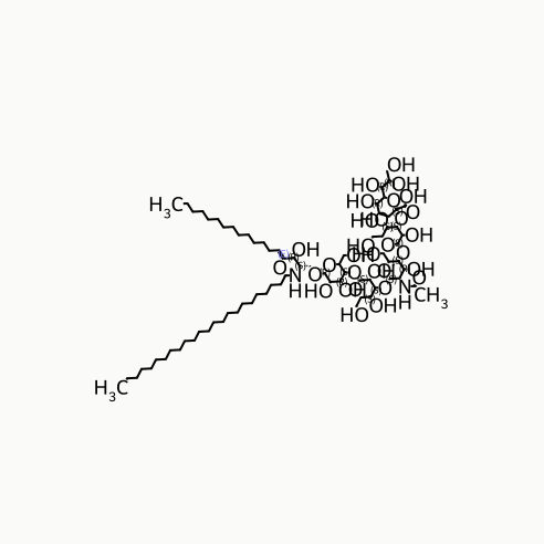 CCCCCCCCCCCCC/C=C/[C@@H](O)[C@H](CO[C@@H]1OC(CO)[C@@H](O[C@@H]2OC(CO)[C@H](O)[C@H](O[C@@H]3OC(CO)[C@@H](O[C@@H]4OC(CO)[C@H](O)[C@H](O[C@]5(C(=O)O)CC(O)[C@@H](O)C([C@H](O)[C@H](O)CO)O5)C4O)[C@H](O)C3NC(C)=O)C2O)[C@H](O)C1O)NC(=O)CCCCCCCCCCCCCCCCCCCCCCC